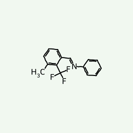 Cc1cccc(C=Nc2ccccc2)c1C(F)(F)F